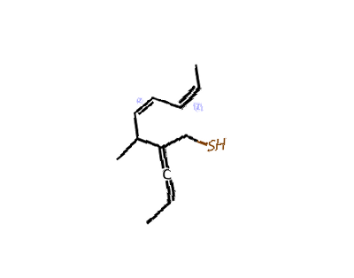 CC=C=C(CS)C(C)/C=C\C=C/C